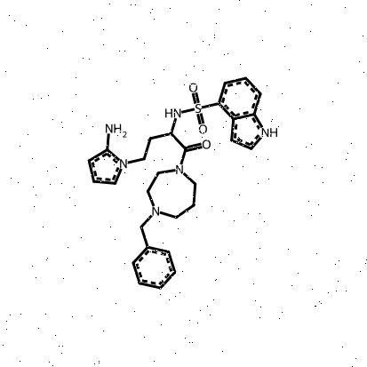 Nc1cccn1CCC(NS(=O)(=O)c1cccc2[nH]ccc12)C(=O)N1CCCN(Cc2ccccc2)CC1